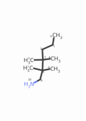 CCCC(C)(C)C(C)(C)CN